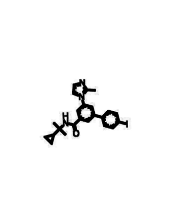 Cc1nccn1-c1cc(C(=O)NC(C)(C)C2CC2)cc(-c2ccc(I)cc2)c1